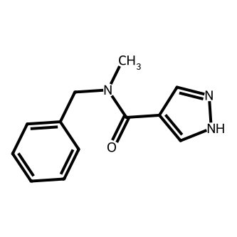 CN(Cc1ccccc1)C(=O)c1cn[nH]c1